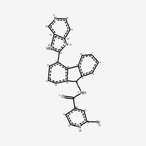 O=C(NC1c2ccccc2-c2c(-c3nc4ccncc4[nH]3)cccc21)c1ccnc(Br)c1